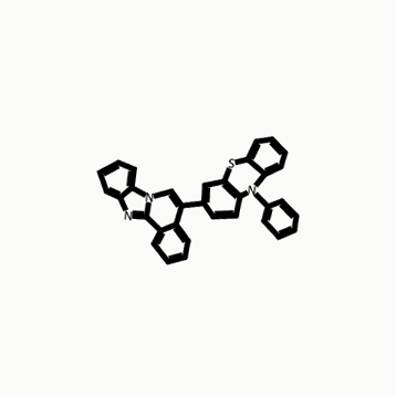 c1ccc(N2c3ccccc3Sc3cc(-c4cn5c6ccccc6nc5c5ccccc45)ccc32)cc1